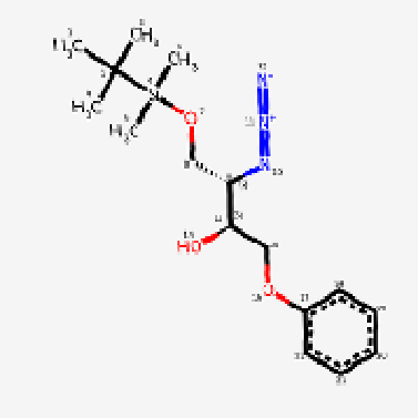 CC(C)(C)[Si](C)(C)OC[C@H](N=[N+]=[N-])[C@H](O)COc1ccccc1